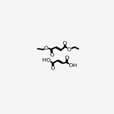 CCOC(=O)/C=C/C(=O)OCC.O=C(O)/C=C/C(=O)O